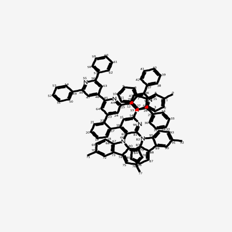 Cc1ccc2c(c1)c1ccccc1n2-c1cc(-c2ccccc2-c2cc(-c3cc(-c4ccccc4)nc(-c4ccccc4)c3)nc(-c3cc(-c4ccccc4)nc(-c4ccccc4)c3)c2)c(-n2c3ccc(C)cc3c3cc(C)ccc32)c(-n2c3ccccc3c3cc(C)ccc32)n1